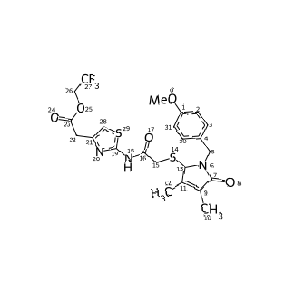 COc1ccc(CN2C(=O)C(C)=C(C)C2SCC(=O)Nc2nc(CC(=O)OCC(F)(F)F)cs2)cc1